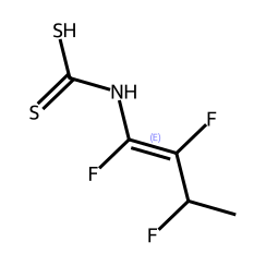 CC(F)/C(F)=C(\F)NC(=S)S